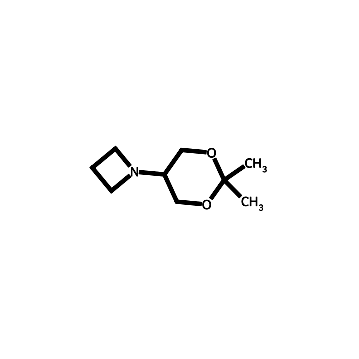 CC1(C)OCC(N2CCC2)CO1